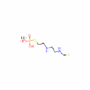 O=P(O)(O)SCCNCCNC=S.[LiH]